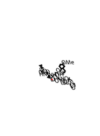 CCC1C[C@]1(NC(=O)[C@@H]1CC(Oc2nccc3cc(OC)ccc23)CN1C(=O)[C@@H](NC(=O)OC(C)(C)CN1CCOCC1)C(C)(C)C)C(=O)NS(=O)(=O)OC1(C)CC1